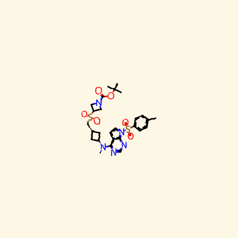 Cc1ccc(S(=O)(=O)n2ccc3c(N(C)[C@H]4C[C@H](CS(=O)(=O)C5CN(C(=O)OC(C)(C)C)C5)C4)ncnc32)cc1